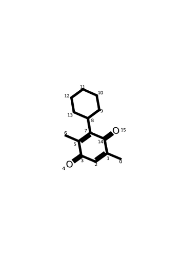 CC1=CC(=O)C(C)=C(C2CCCCC2)C1=O